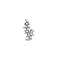 O=C(O)NC1=NC2(c3cc(NC(=O)c4ncc(F)cn4)ccc3F)COCC2CS1